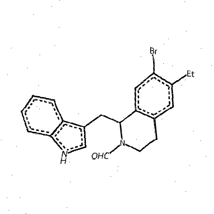 CCc1cc2c(cc1Br)C(Cc1c[nH]c3ccccc13)N(C=O)CC2